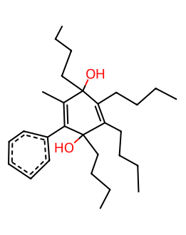 CCCCC1=C(CCCC)C(O)(CCCC)C(c2ccccc2)=C(C)C1(O)CCCC